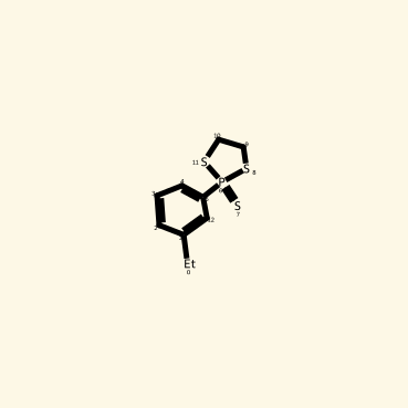 CCc1cccc(P2(=S)SCCS2)c1